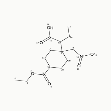 CCOC(=O)C1CCC(C[N+](=O)[O-])(C(CC)C(=O)O)CC1